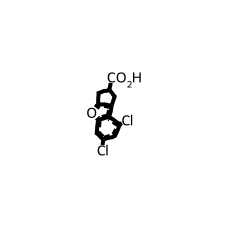 O=C(O)C1Cc2oc3cc(Cl)cc(Cl)c3c2C1